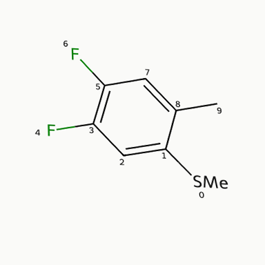 CSc1cc(F)c(F)cc1C